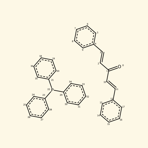 O=C(C=Cc1ccccc1)C=Cc1ccccc1.c1ccc(P(c2ccccc2)c2ccccc2)cc1